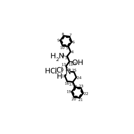 Cl.Cl.N[C@H](Cc1ccccc1)[C@@H](O)CN1CCC(c2ccccc2)CC1